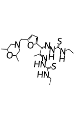 CCNC(=S)N/N=C(C)/C(=N\NC(=S)NCC)c1ccc(CN2CC(C)OC(C)C2)o1